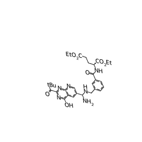 CCOC(=O)CC[C@H](NC(=O)c1cccc(CNC(N)c2cnc3nc(C(=O)C(C)(C)C)nc(O)c3c2)c1)C(=O)OCC